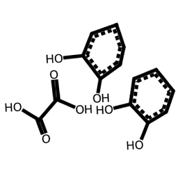 O=C(O)C(=O)O.Oc1ccccc1O.Oc1ccccc1O